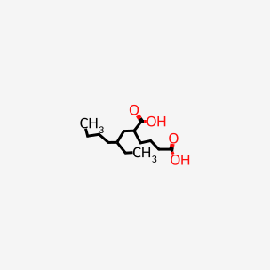 CCCCC(CC)CC(CCCC(=O)O)C(=O)O